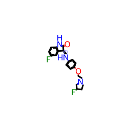 O=C1Nc2ccc(F)cc2/C1=C\Nc1ccc(OCCN2CCC(F)C2)cc1